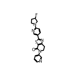 O=C1c2sc(-c3ccc(N4CCC(F)C4)nc3)nc2CCN1c1cccnc1